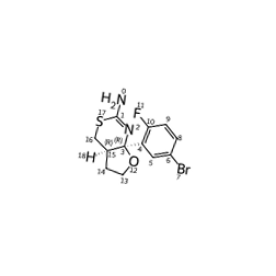 NC1=N[C@@]2(c3cc(Br)ccc3F)OCC[C@H]2CS1